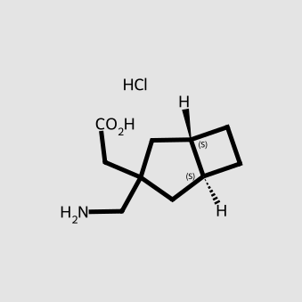 Cl.NCC1(CC(=O)O)C[C@@H]2CC[C@H]2C1